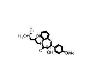 COc1ccc([C@@H]2Sc3ccccc3N(CC(O)CN(C)C)C(=O)[C@H]2O)cc1